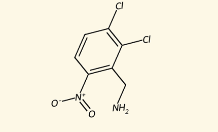 NCc1c([N+](=O)[O-])ccc(Cl)c1Cl